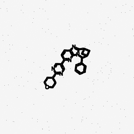 c1ccc(C2C3CC(C3)c3nc4ccc(-c5cnc(C6CCOCC6)nc5)nc4n32)cc1